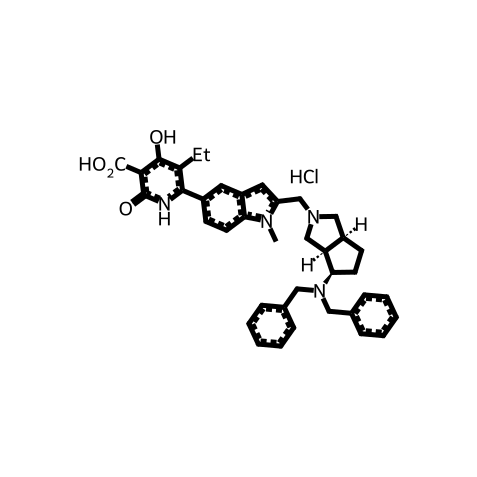 CCc1c(-c2ccc3c(c2)cc(CN2C[C@H]4CC[C@@H](N(Cc5ccccc5)Cc5ccccc5)[C@H]4C2)n3C)[nH]c(=O)c(C(=O)O)c1O.Cl